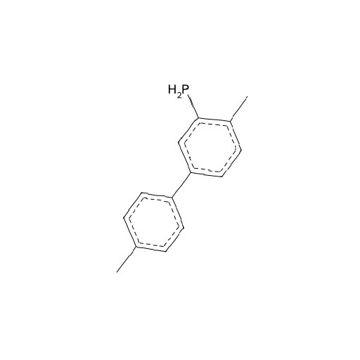 Cc1ccc(-c2ccc(C)c(P)c2)cc1